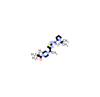 C[C@H](c1csc(NC[C@@H]2CCCN2C(C)(C)C)n1)N1CCN(C(=O)C(C)(C)C)CC1